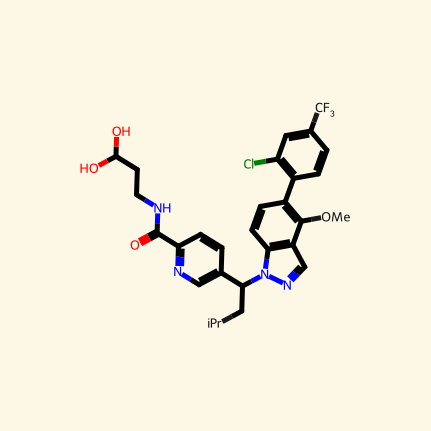 COc1c(-c2ccc(C(F)(F)F)cc2Cl)ccc2c1cnn2C(CC(C)C)c1ccc(C(=O)NCCC(O)O)nc1